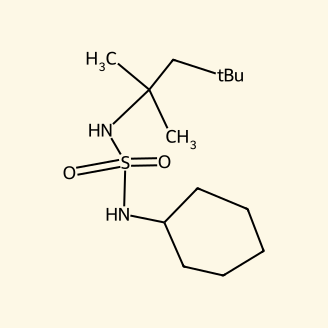 CC(C)(C)CC(C)(C)NS(=O)(=O)NC1CCCCC1